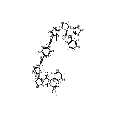 COC(=O)N[C@@H](C(=O)N1CCC[C@H]1c1ncc(C#Cc2ccc(C#Cc3cnc([C@@H]4CCCN4C(=O)[C@@H](c4ccccc4)N4CCCC4)[nH]3)cc2)[nH]1)c1ccccc1